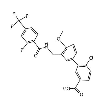 COc1ccc(-c2cc(C(=O)O)ccc2Cl)cc1CNC(=O)c1ccc(C(F)(F)F)cc1F